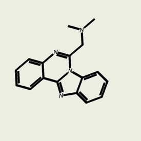 CN(C)Cc1nc2ccccc2c2nc3ccccc3n12